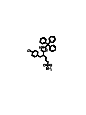 NS(=O)(=O)C/C=C/C(Cc1ccc(Cl)cc1)c1c[nH]c(C(c2ccccc2)(c2ccccc2)c2ccccc2)n1